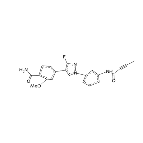 CC#CC(=O)Nc1cccc(-n2cc(-c3ccc(C(N)=O)c(OC)c3)c(F)n2)c1